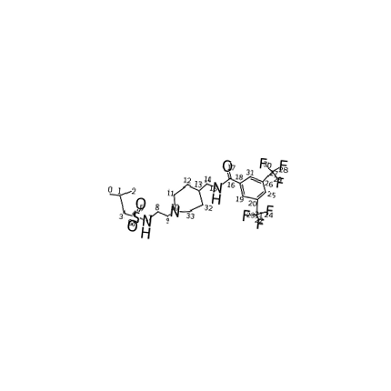 CC(C)CS(=O)(=O)NCCN1CCC(CNC(=O)c2cc(C(F)(F)F)cc(C(F)(F)F)c2)CC1